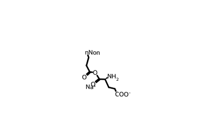 CCCCCCCCCCCC(=O)OC(=O)[C@@H](N)CCC(=O)[O-].[Na+]